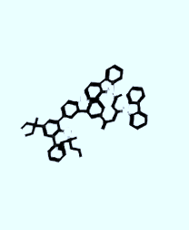 C=C(/C=C(\C=C(/C)n1c2ccccc2c2ccccc21)n1c2ccccc2c2ccccc21)c1ccc2oc3ccc(-c4cc(C(C)(CC)CC)cc(-c5ccccc5)c4OC(C)(CC)CCC)cc3c2c1